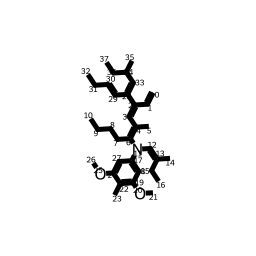 C=CC(=C\C(C)=C(/CCCC)N(/C=C(/C)CC)c1cc(OC)c(C)c(OC)c1)/C(/C=C/CC)=C/C(C)CC